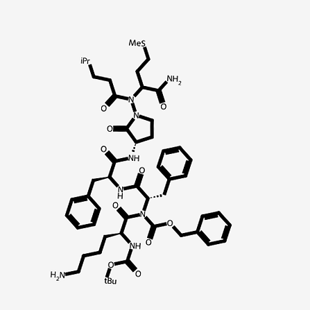 CSCCC(C(N)=O)N(C(=O)CCC(C)C)N1CC[C@H](NC(=O)[C@H](Cc2ccccc2)NC(=O)[C@H](Cc2ccccc2)N(C(=O)OCc2ccccc2)C(=O)[C@H](CCCCN)NC(=O)OC(C)(C)C)C1=O